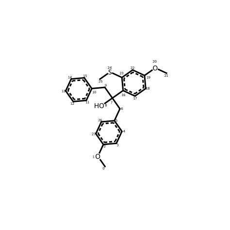 COc1ccc(CC(O)(Cc2ccccc2)c2ccc(OC)cc2SC)cc1